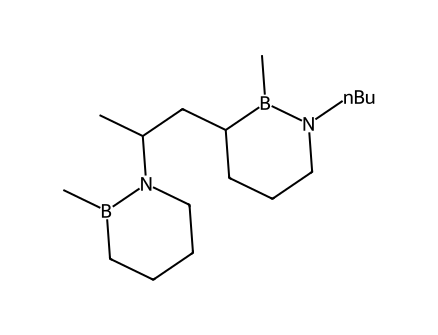 CCCCN1CCCC(CC(C)N2CCCCB2C)B1C